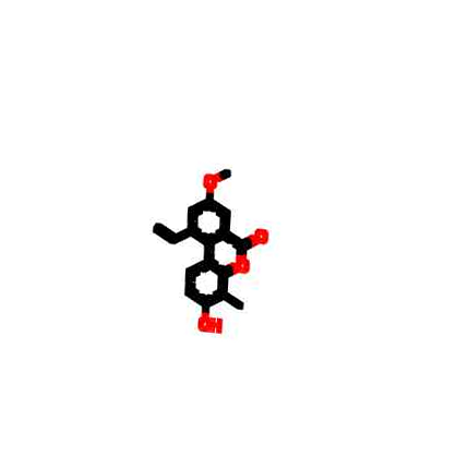 C=Cc1cc(OC)cc2c(=O)oc3c(C)c(O)ccc3c12